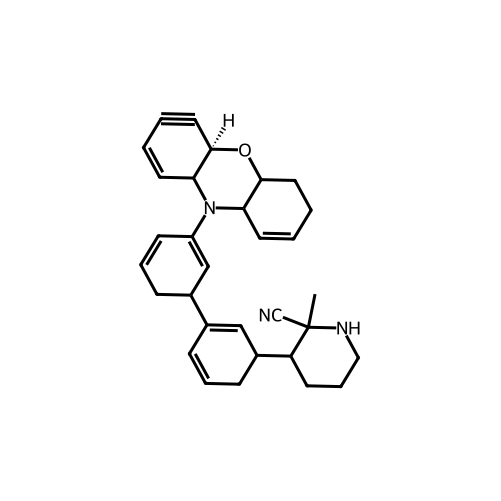 CC1(C#N)NCCCC1C1C=C(C2C=C(N3C4C=CCCC4O[C@@H]4C#CC=CC43)C=CC2)C=CC1